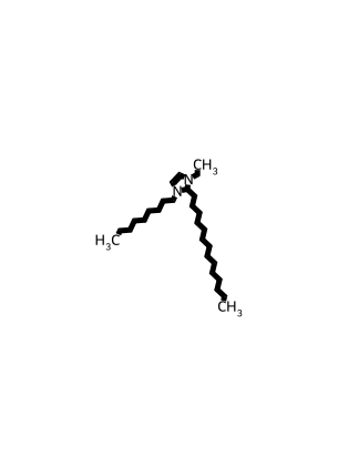 CCCCCCCCCCCCCCC1N(CC)C=CN1CCCCCCCCC